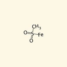 C[S](=O)(=O)[Fe]